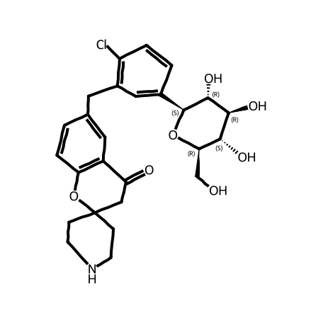 O=C1CC2(CCNCC2)Oc2ccc(Cc3cc([C@@H]4O[C@H](CO)[C@@H](O)[C@H](O)[C@H]4O)ccc3Cl)cc21